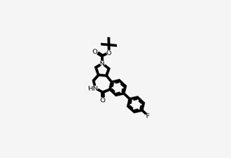 CC(C)(C)OC(=O)N1CC2CNC(=O)c3cc(-c4ccc(F)cc4)ccc3C2C1